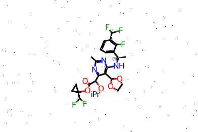 Cc1nc(N[C@H](C)c2cccc(C(F)F)c2F)c(C2OCCO2)c(C(OC(C)C)C(=O)OC2(C(F)F)CC2)n1